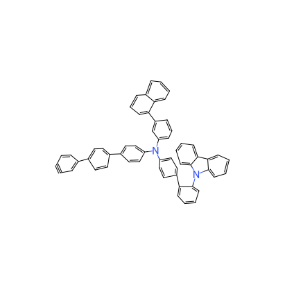 c1ccc(-c2ccc(-c3ccc(N(c4ccc(-c5ccccc5-n5c6ccccc6c6ccccc65)cc4)c4cccc(-c5cccc6ccccc56)c4)cc3)cc2)cc#1